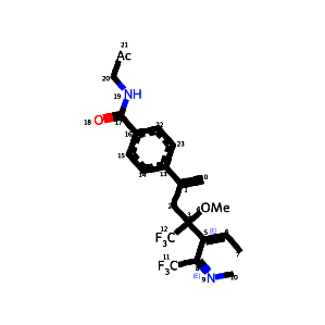 C=C(CC(OC)(C(=C/C)/C(=N\C)C(F)(F)F)C(F)(F)F)c1ccc(C(=O)NCC(C)=O)cc1